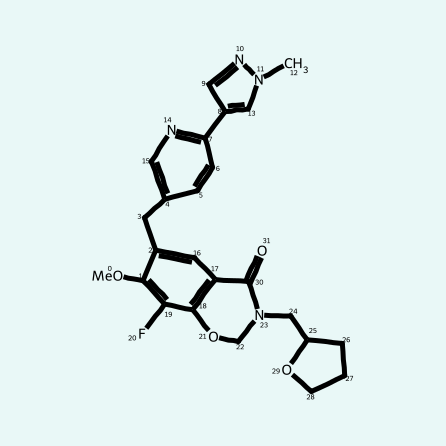 COc1c(Cc2ccc(-c3cnn(C)c3)nc2)cc2c(c1F)OCN(CC1CCCO1)C2=O